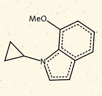 COc1c[c]cc2ccn(C3CC3)c12